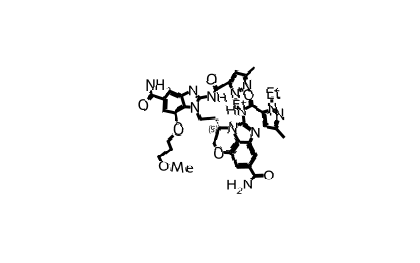 CCn1nc(C)cc1C(=O)Nc1nc2cc(C(N)=O)cc(OCCCOC)c2n1CC[C@H]1COc2cc(C(N)=O)cc3nc(NC(=O)c4cc(C)nn4CC)n1c23